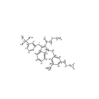 CCOC(=O)c1c(Cc2cccc(C(F)(F)F)c2)c2ccccc2n1Cc1cc(O)cc(OCC2CC2)c1